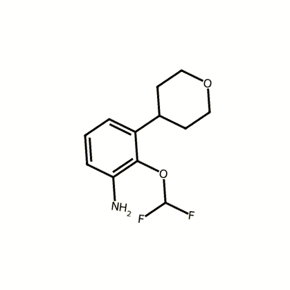 Nc1cccc(C2CCOCC2)c1OC(F)F